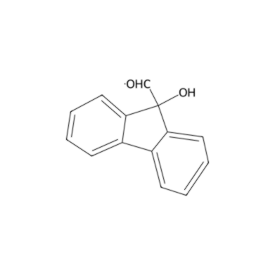 O=[C]C1(O)c2ccccc2-c2ccccc21